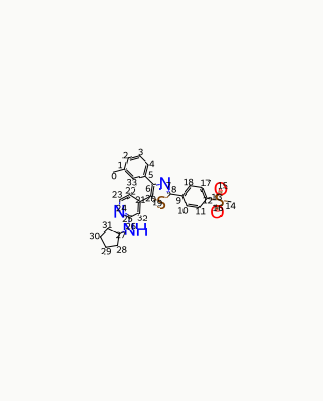 Cc1cccc(-c2nc(-c3ccc(S(C)(=O)=O)cc3)sc2-c2ccnc(NC3CCCC3)c2)c1